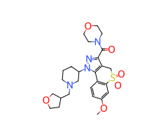 COc1ccc2c(c1)S(=O)(=O)Cc1c(C(=O)N3CCOCC3)nn(C3CCCN(CC4CCOC4)C3)c1-2